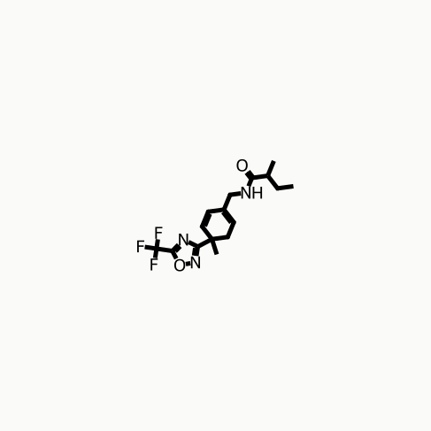 CCC(C)C(=O)NCC1=CCC(C)(c2noc(C(F)(F)F)n2)C=C1